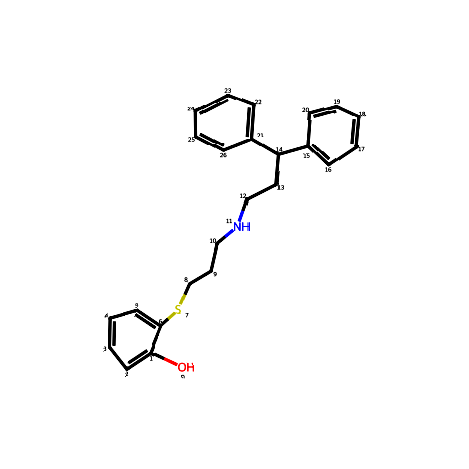 Oc1ccccc1SCCCNCCC(c1ccccc1)c1ccccc1